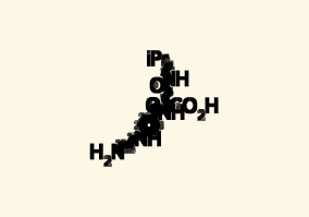 CC(C)CCNC(=O)CC[C@H](NC(=O)c1ccc(NCCCN)cc1)C(=O)O